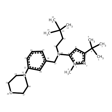 Cn1nc(C(C)(C)C)cc1N(CCC(C)(C)C)Cc1cccc(N2CCOCC2)c1